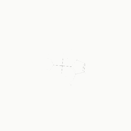 CC(C)C(C)(C)C1=[C]([Zr+2])C=CC1.[Cl-].[Cl-]